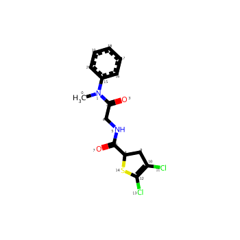 CN(C(=O)CNC(=O)C1CC(Cl)=C(Cl)S1)c1ccccc1